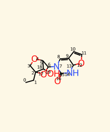 CCC12COC(C(N3C=C4C=COC4NC3=O)O1)C2O